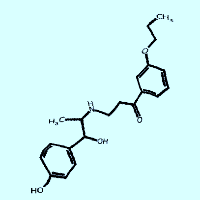 CCCOc1cccc(C(=O)CCNC(C)C(O)c2ccc(O)cc2)c1